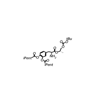 CCCC(C)C(=O)Oc1ccc(C[C@H](N)C(=O)O[C@@H](C)COC(=O)OC(C)(C)C)cc1OC(=O)C(C)CCC